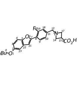 CCCCOc1ccc2oc(-c3ccc(CN4CC(C(=O)O)C4)cc3F)cc2c1